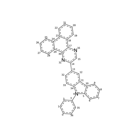 c1ccc(-n2c3ccccc3c3cc(-c4cnc5c6ccccc6c6ccccc6c5n4)ccc32)cc1